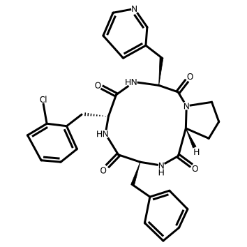 O=C1N[C@H](Cc2ccccc2Cl)C(=O)N[C@@H](Cc2cccnc2)C(=O)N2CCC[C@@H]2C(=O)N[C@H]1Cc1ccccc1